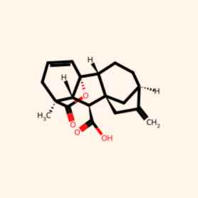 C=C1C[C@]23C[C@H]1CC[C@H]2[C@@]12C=CC[C@](C)(C(=O)O1)[C@H]2[C@@H]3C(=O)O